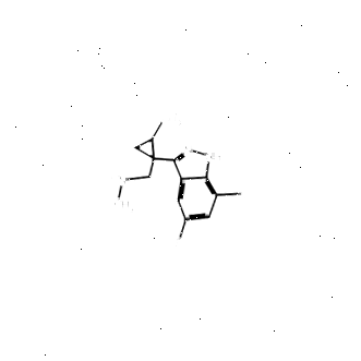 CNCC1(c2n[nH]c3c(Cl)cc(F)cc23)CC1C